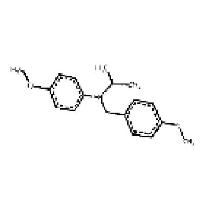 COc1ccc(N(Cc2ccc(SC)cc2)C(C)C)cc1